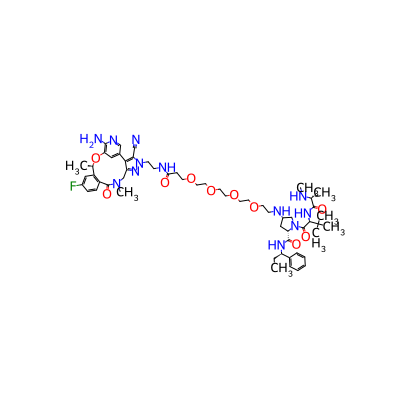 CC[C@@H](NC(=O)[C@@H]1C[C@H](NCCOCCOCCOCCOCCC(=O)NCCn2nc3c(c2C#N)-c2cnc(N)c(c2)O[C@H](C)c2cc(F)ccc2C(=O)N(C)C3)CN1C(=O)[C@@H](NC(=O)[C@H](C)NC)C(C)(C)C)c1ccccc1